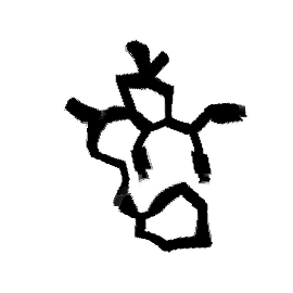 CN(CCOC1CCCCC1)C1=C(C#N)C(=C(C#N)C#N)CC(C)(C)C1